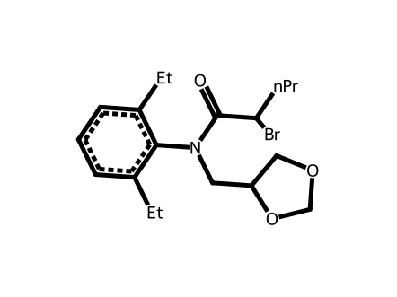 CCCC(Br)C(=O)N(CC1COCO1)c1c(CC)cccc1CC